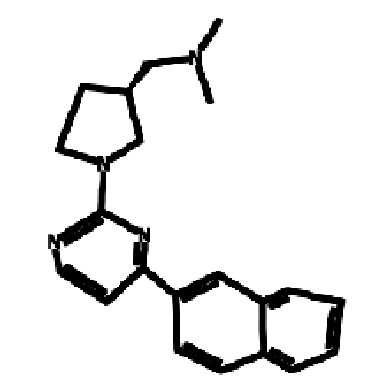 CN(C)C[C@@H]1CCN(c2nccc(-c3ccc4ccccc4c3)n2)C1